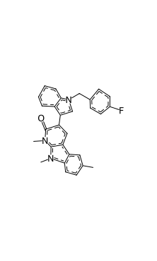 Cc1ccc2c(c1)c1cc(-c3cn(Cc4ccc(F)cc4)c4ccccc34)c(=O)n(C)c1n2C